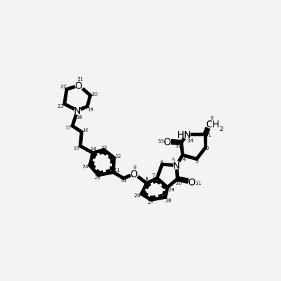 C=C1CCC(N2Cc3c(OCc4ccc(CCCN5CCOCC5)cc4)cccc3C2=O)C(=O)N1